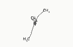 CCCCCCCCCCCCCCCn1cc[n+](CCCCCCCCCCCCCCC)c1CCCC